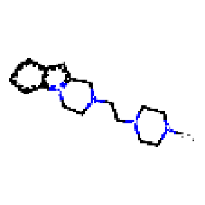 CN1CCN(CCN2CCn3c(cc4ccccc43)C2)CC1